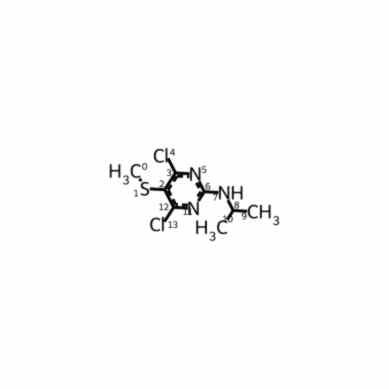 CSc1c(Cl)nc(NC(C)C)nc1Cl